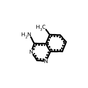 Cc1cccc2ncnc(N)c12